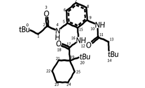 CC(C)(C)CC(=O)Nc1cccc(NC(=O)CC(C)(C)C)c1NC(=O)C1(C(C)(C)C)CCCCC1